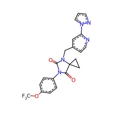 O=C1N(c2ccc(OC(F)(F)F)cc2)C(=O)C2(CC2)N1Cc1ccnc(-n2cccn2)c1